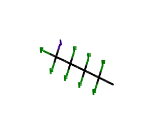 CC(F)(F)C(F)(F)C(F)(F)C(F)(F)I